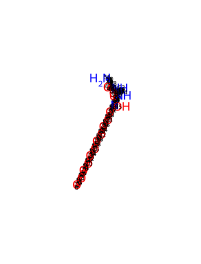 COCCOCCOCCOCCOCCOCCOCCOCCOCCOCCOCCN(O)CCC(=O)N[C@H](C(=O)N[C@H](C=O)CCCN)C(C)C